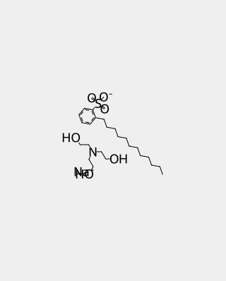 CCCCCCCCCCCCc1ccccc1S(=O)(=O)[O-].OCCN(CCO)CCO.[Na+]